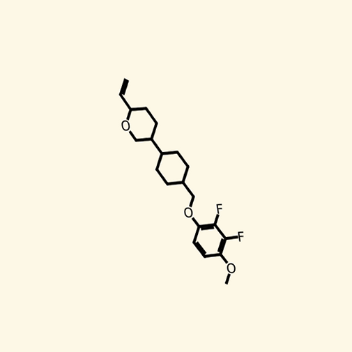 C=CC1CCC(C2CCC(COc3ccc(OC)c(F)c3F)CC2)CO1